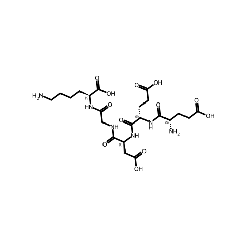 NCCCC[C@H](NC(=O)CNC(=O)[C@H](CC(=O)O)NC(=O)[C@H](CCC(=O)O)NC(=O)[C@@H](N)CCC(=O)O)C(=O)O